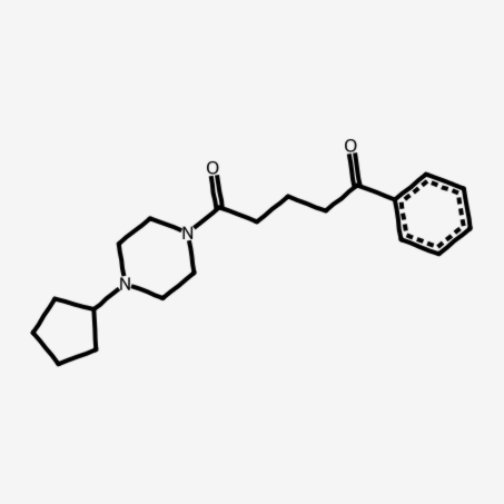 O=C(CCCC(=O)N1CCN(C2CCCC2)CC1)c1ccccc1